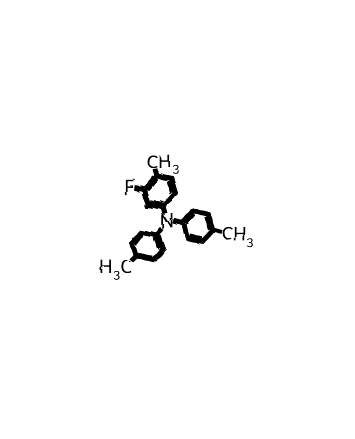 Cc1ccc(N(c2ccc(C)cc2)c2ccc(C)c(F)c2)cc1